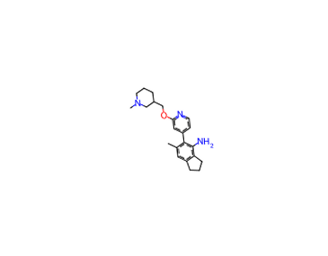 Cc1cc2c(c(N)c1-c1ccnc(OCC3CCCN(C)C3)c1)CCC2